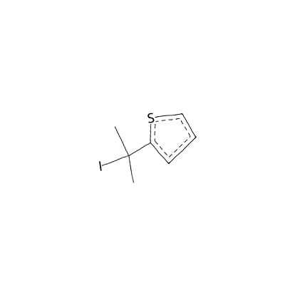 CC(C)(I)c1cccs1